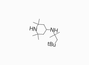 CC(C)(C)CC(C)(C)NC1CC(C)(C)NC(C)(C)C1